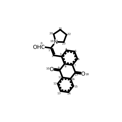 O=CC(=Cc1cccc2c1C(=O)c1ccccc1C2=O)N1CCCC1